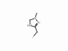 CN1CNC(CI)=N1